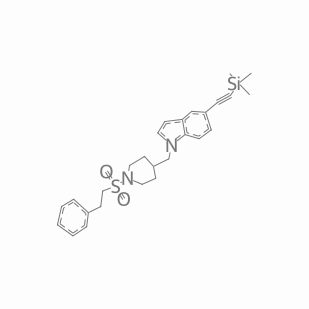 C[Si](C)(C)C#Cc1ccc2c(ccn2CC2CCN(S(=O)(=O)CCc3ccccc3)CC2)c1